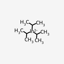 C[CH](C)[In-2]([CH](C)C)[CH](C)C